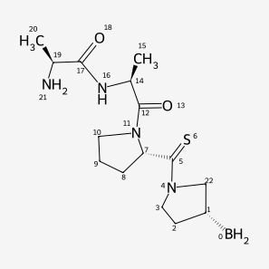 B[C@@H]1CCN(C(=S)[C@@H]2CCCN2C(=O)[C@H](C)NC(=O)[C@H](C)N)C1